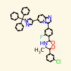 C[C@H](NC(=O)c1ccc(-c2cnc3ccc(-c4cnn(C(c5ccccc5)(c5ccccc5)c5ccccc5)c4)cn23)cc1F)C(=O)c1cccc(Cl)c1